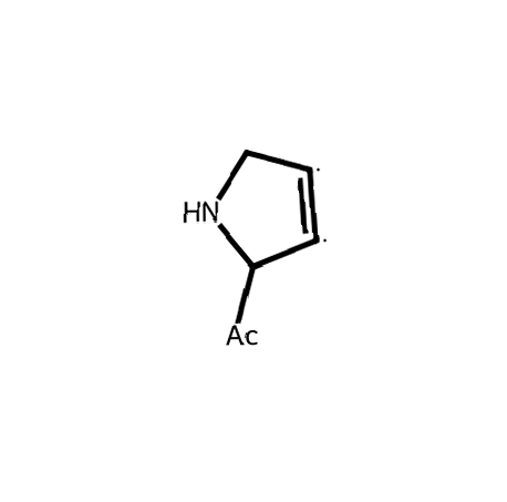 CC(=O)C1[C]=[C]CN1